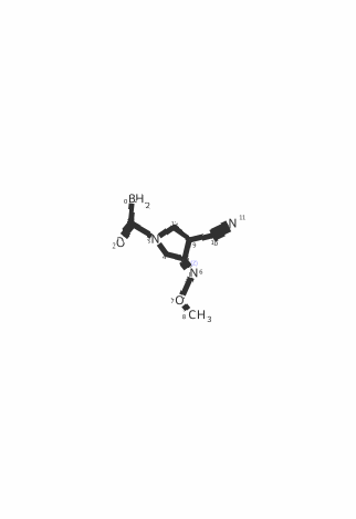 BC(=O)N1C/C(=N\OC)C(C#N)C1